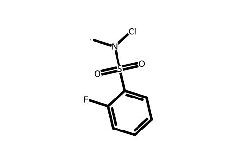 [CH2]N(Cl)S(=O)(=O)c1ccccc1F